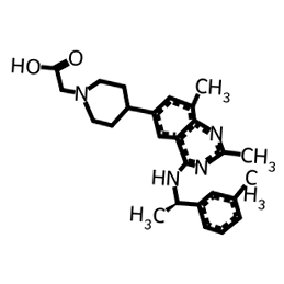 Cc1cccc([C@@H](C)Nc2nc(C)nc3c(C)cc(C4CCN(CC(=O)O)CC4)cc23)c1